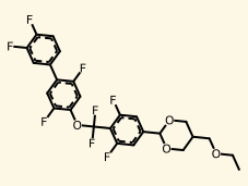 CCOCC1COC(c2cc(F)c(C(F)(F)Oc3cc(F)c(-c4ccc(F)c(F)c4)cc3F)c(F)c2)OC1